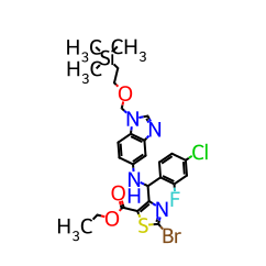 CCOC(=O)c1sc(Br)nc1C(Nc1ccc2c(c1)ncn2COCC[Si](C)(C)C)c1ccc(Cl)cc1F